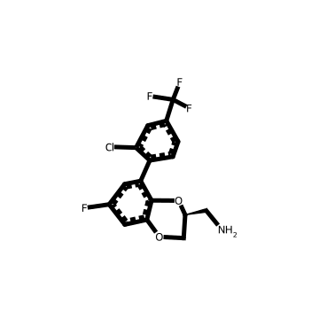 NC[C@H]1COc2cc(F)cc(-c3ccc(C(F)(F)F)cc3Cl)c2O1